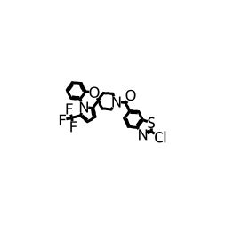 O=C(c1ccc2nc(Cl)sc2c1)N1CCC2(CC1)Oc1ccccc1-n1c(C(F)(F)F)ccc12